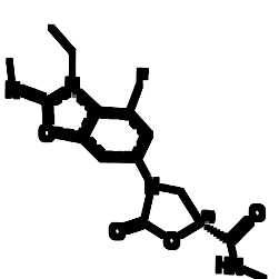 CCn1c(=NC)oc2cc(N3C[C@H](C(=O)NC)OC3=O)cc(F)c21